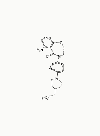 CCOC(=O)CC1CCN(c2ccc(N3CCOc4ncnc(N)c4C3=O)cn2)CC1